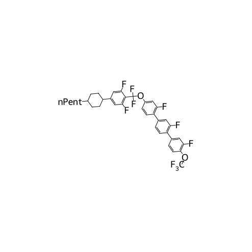 CCCCCC1CCC(c2cc(F)c(C(F)(F)Oc3ccc(-c4ccc(-c5ccc(OC(F)(F)F)c(F)c5)c(F)c4)c(F)c3)c(F)c2)CC1